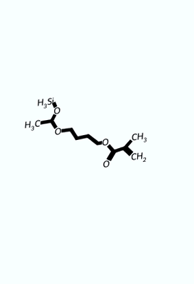 C=C(C)C(=O)OCCCCOC(C)O[SiH3]